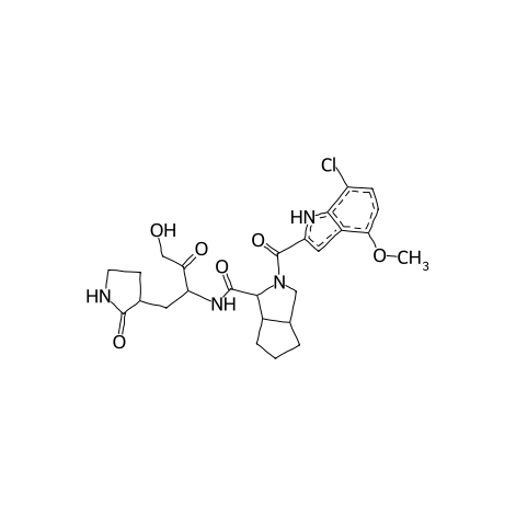 COc1ccc(Cl)c2[nH]c(C(=O)N3CC4CCCC4C3C(=O)NC(CC3CCNC3=O)C(=O)CO)cc12